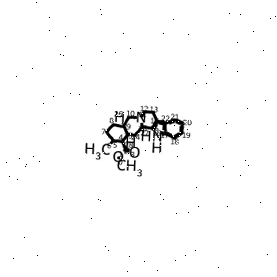 COC(=O)C1C(C)CC[C@H]2CN3CCc4c([nH]c5ccccc45)[C@@H]3C[C@H]12